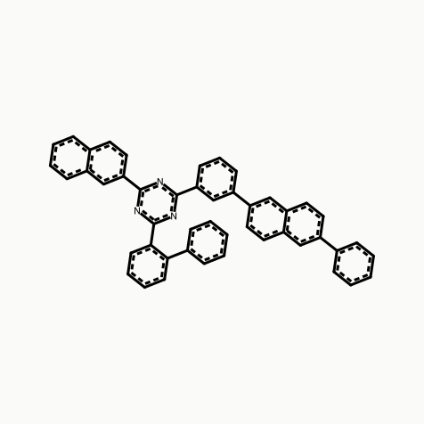 c1ccc(-c2ccc3cc(-c4cccc(-c5nc(-c6ccc7ccccc7c6)nc(-c6ccccc6-c6ccccc6)n5)c4)ccc3c2)cc1